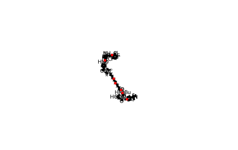 Cc1ncsc1-c1ccc(CNC(=O)[C@@H]2C[C@@H](O)CN2C(=O)[C@@H](NC(=O)CCCCCCCCCCCCN2[C@H](C)CN(C(=O)c3ccc(NC(=O)c4cc(OCCc5c(Cl)ccc(F)c5Cl)c(N)nn4)cc3)C[C@@H]2C)C(C)(C)C)cc1